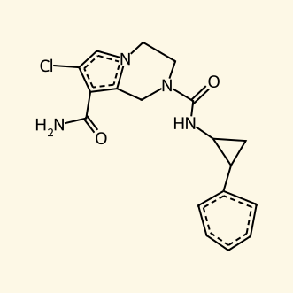 NC(=O)c1c(Cl)cn2c1CN(C(=O)NC1CC1c1ccccc1)CC2